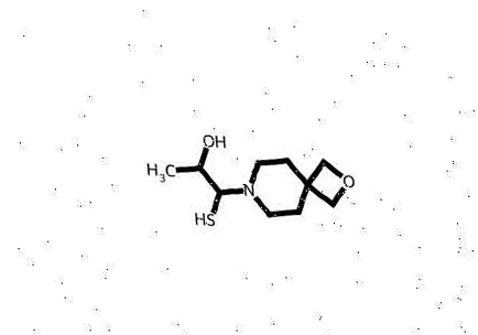 CC(O)C(S)N1CCC2(CC1)COC2